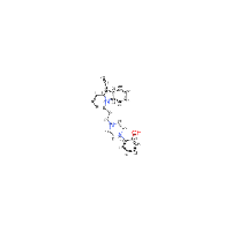 C#Cc1c(/C=C\C)n(CCCN2CCN(c3ccccc3O)CC2)c2ccccc12